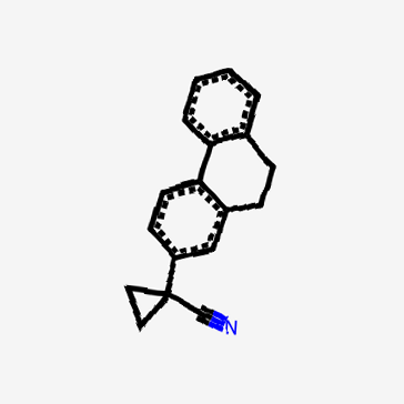 N#CC1(c2ccc3c(c2)CCc2ccccc2-3)CC1